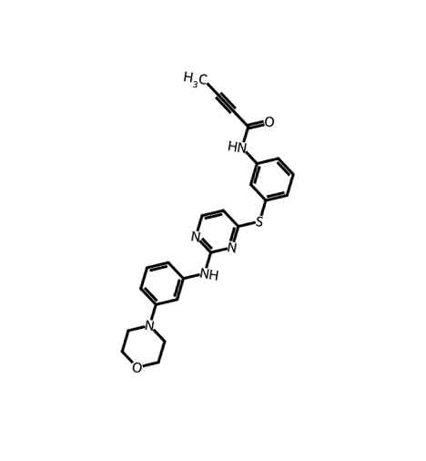 CC#CC(=O)Nc1cccc(Sc2ccnc(Nc3cccc(N4CCOCC4)c3)n2)c1